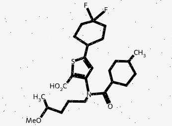 COC(C)CCCN(C(=O)C1CCC(C)CC1)c1cc(C2CCC(F)(F)CC2)sc1C(=O)O